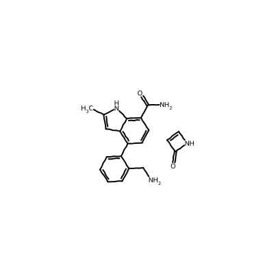 Cc1cc2c(-c3ccccc3CN)ccc(C(N)=O)c2[nH]1.O=C1C=CN1